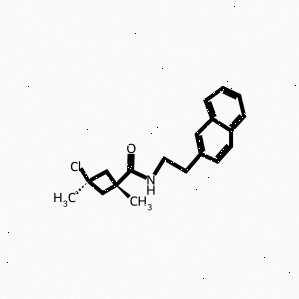 C[C@]1(Cl)C[C@](C)(C(=O)NCCc2ccc3ccccc3c2)C1